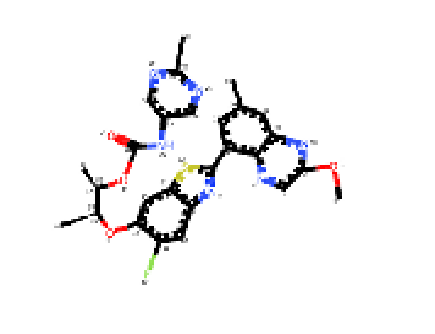 COc1cnc2c(-c3nc4cc(F)c(O[C@@H](C)[C@@H](C)OC(=O)Nc5cnc(C)nc5)cc4s3)cc(C)cc2n1